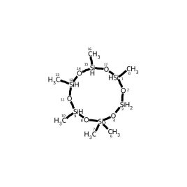 C[SiH]1O[SiH2]O[Si](C)(C)O[SiH](C)O[SiH](C)O[SiH](C)O1